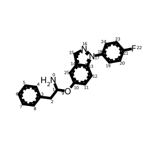 NC(Cc1ccccc1)Oc1ccc2c(cnn2-c2ccc(F)cc2)c1